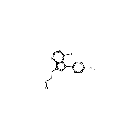 COCCn1cc(-c2ccc(N)cc2)c2c(Cl)ncnc21